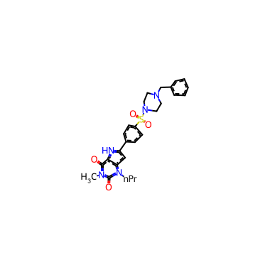 CCCn1c(=O)n(C)c(=O)c2[nH]c(-c3ccc(S(=O)(=O)N4CCN(Cc5ccccc5)CC4)cc3)cc21